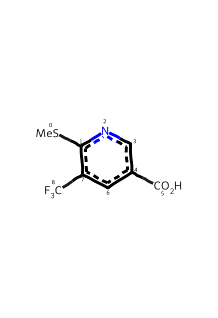 CSc1ncc(C(=O)O)cc1C(F)(F)F